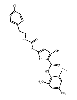 Cc1cc(C)c(NC(=O)c2sc(NC(=O)NCCc3ccc(Cl)cc3)nc2C)c(C)c1